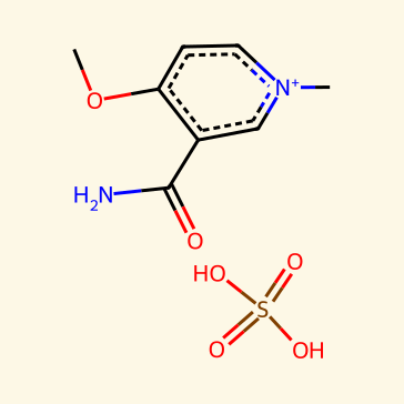 COc1cc[n+](C)cc1C(N)=O.O=S(=O)(O)O